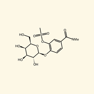 CNC(=O)c1ccc(O[C@@H]2O[C@H](CO)[C@H](O)[C@H](O)[C@H]2O)c(OS(C)(=O)=O)c1